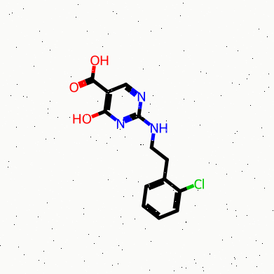 O=C(O)c1cnc(NCCc2ccccc2Cl)nc1O